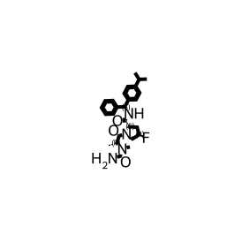 CC(C)c1ccc([C@@H](NC(=O)[C@@H]2C[C@@H](F)CN2C(=O)[C@@H](C)N(C)C(N)=O)c2ccccc2)cc1